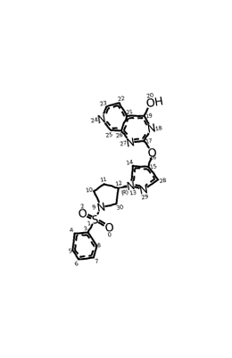 O=S(=O)(c1ccccc1)N1CC[C@@H](n2cc(Oc3nc(O)c4ccncc4n3)cn2)C1